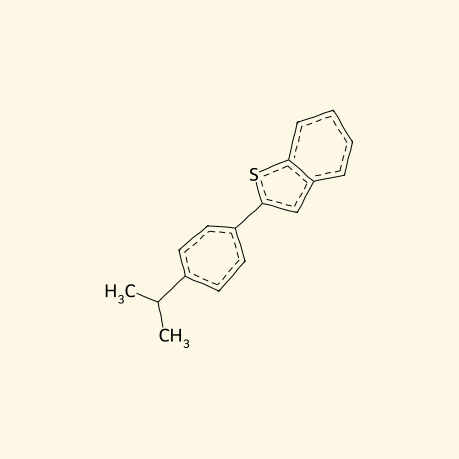 CC(C)c1ccc(-c2cc3ccccc3s2)cc1